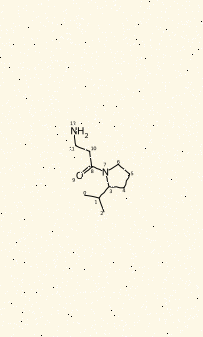 CC(C)C1CCCN1C(=O)CCN